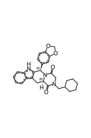 O=C1[C@H]2Cc3c([nH]c4ccccc34)[C@@H](c3ccc4c(c3)OCO4)N2C(=O)CN1CC1CCCCC1